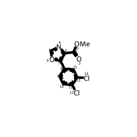 COC(=O)c1ncoc1-c1ccc(Cl)c(Cl)c1